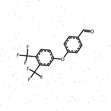 O=Cc1ccc(Oc2ccc(C(F)(F)F)c(C(F)(F)F)c2)cc1